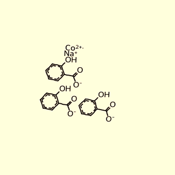 O=C([O-])c1ccccc1O.O=C([O-])c1ccccc1O.O=C([O-])c1ccccc1O.[Co+2].[Na+]